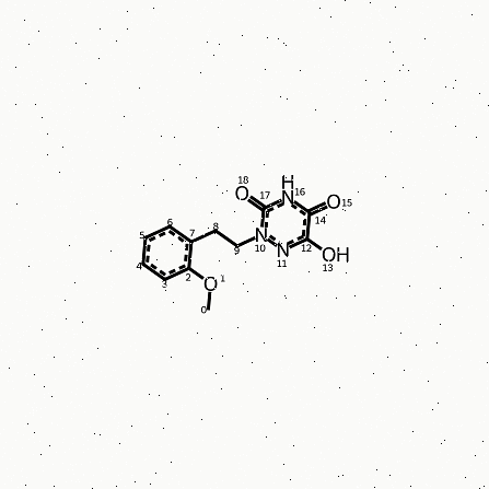 COc1ccccc1CCn1nc(O)c(=O)[nH]c1=O